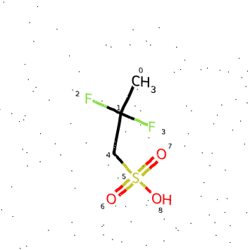 CC(F)(F)CS(=O)(=O)O